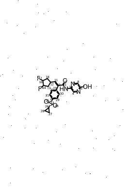 O=C(Nc1cnc(O)cn1)/C(=C/C1CC(F)C(F)C1)c1ccc(S(=O)(=O)C2CC2)cc1